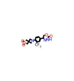 O=C1NN=C(c2ccc(N3CC4(C3)CS(=O)(=O)C4)c(C(F)(F)F)c2)CO1